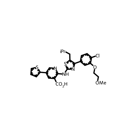 COCCOc1cc(-c2nc(Nc3ncc(-c4cccs4)cc3C(=O)O)sc2CC(C)C)ccc1Cl